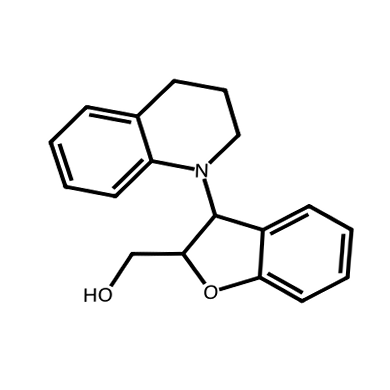 OCC1Oc2ccccc2C1N1CCCc2ccccc21